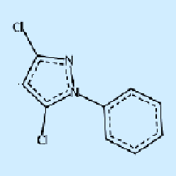 Clc1[c]c(Cl)n(-c2ccccc2)n1